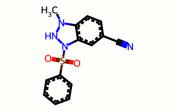 CN1NN(S(=O)(=O)c2ccccc2)c2cc(C#N)ccc21